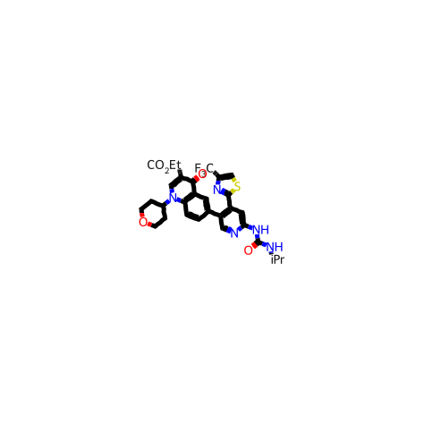 CCOC(=O)c1cn(C2CCOCC2)c2ccc(-c3cnc(NC(=O)NC(C)C)cc3-c3nc(C(F)(F)F)cs3)cc2c1=O